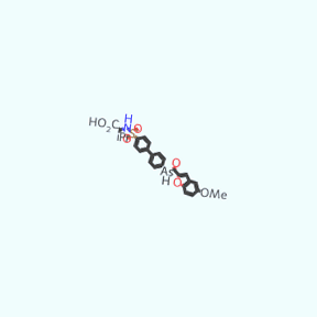 COc1ccc2oc(C(=O)[AsH]c3ccc(-c4ccc(S(=O)(=O)N[C@H](C(=O)O)C(C)C)cc4)cc3)cc2c1